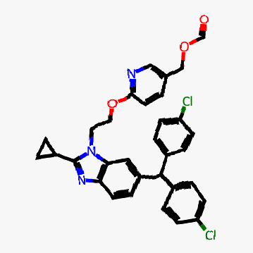 O=COCc1ccc(OCCn2c(C3CC3)nc3ccc(C(c4ccc(Cl)cc4)c4ccc(Cl)cc4)cc32)nc1